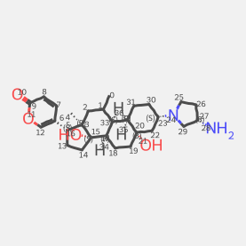 CC1C[C@]2(C)[C@@H](c3ccc(=O)oc3)CC[C@]2(O)[C@@H]2CC[C@]3(O)C[C@@H](N4CC[C@H](N)C4)CC[C@@H]3[C@H]12